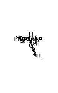 NCOCCOCCOCCNc1cc2c(cc1NCCNC(=O)Nc1ccccc1)CN(C1CCC(=O)NC1=O)C2=O